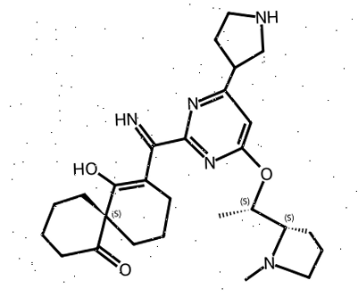 C[C@H](Oc1cc(C2CCNC2)nc(C(=N)C2=C(O)[C@]3(CCCCC3=O)CCC2)n1)[C@@H]1CCCN1C